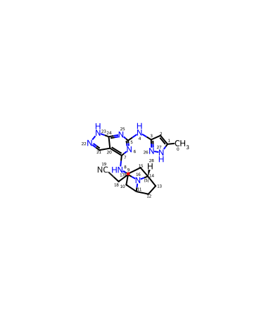 Cc1cc(Nc2nc(N[C@@H]3CC4CC[C@@H](C3)N4CCC#N)c3cn[nH]c3n2)n[nH]1